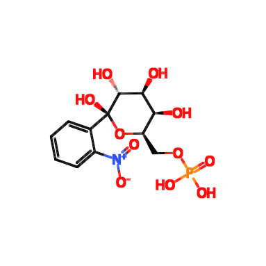 O=[N+]([O-])c1ccccc1[C@@]1(O)O[C@H](COP(=O)(O)O)[C@H](O)[C@H](O)[C@H]1O